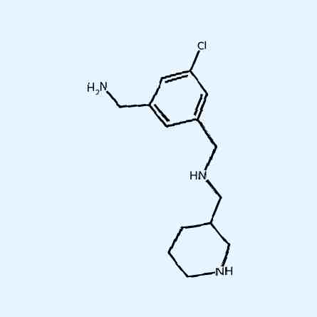 NCc1cc(Cl)cc(CNCC2CCCNC2)c1